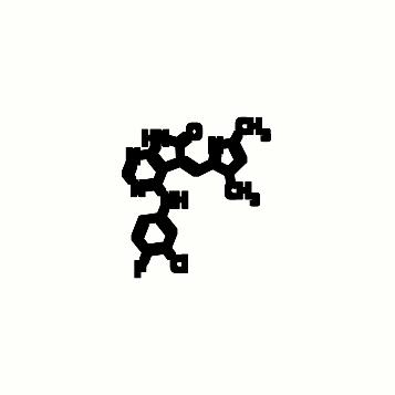 CC1=CC(C)C(C=C2C(=O)Nc3ncnc(Nc4ccc(F)c(Cl)c4)c32)=N1